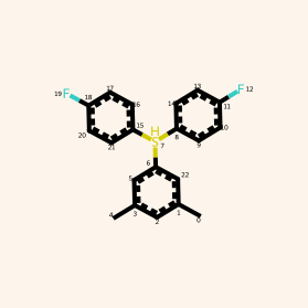 Cc1cc(C)cc([SH](c2ccc(F)cc2)c2ccc(F)cc2)c1